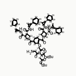 CC(C)(C)OC(=O)C[C@@H](C(=O)OC(C)(C)C)N(C(=O)CN)C(=O)COc1cc(C(=O)N2C[C@@H](C(=O)N[C@H]3C[C@@H]3c3ccccc3)[C@H](C(=O)N[C@H]3C[C@@H]3c3ccccc3)C2)ccc1C(=O)N1C[C@@H](C(=O)N[C@H]2C[C@@H]2c2ccccc2)[C@H](C(=O)N[C@H]2C[C@@H]2c2ccccc2)C1